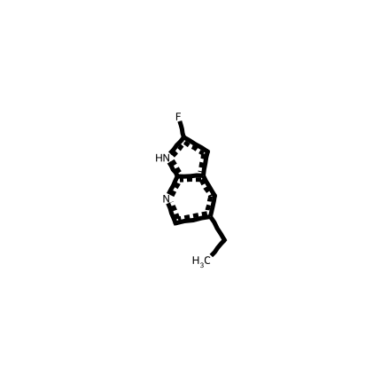 CCc1cnc2[nH]c(F)cc2c1